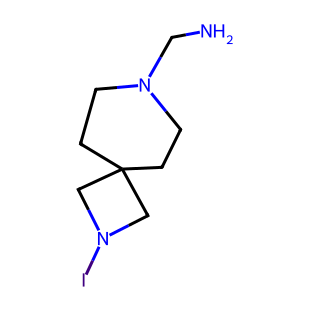 NCN1CCC2(CC1)CN(I)C2